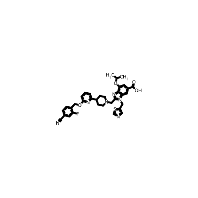 CC(C)Oc1cc(C(=O)O)cc2c1nc(CN1CCC(c3cccc(OCc4ccc(C#N)cc4F)n3)CC1)n2Cc1cncs1